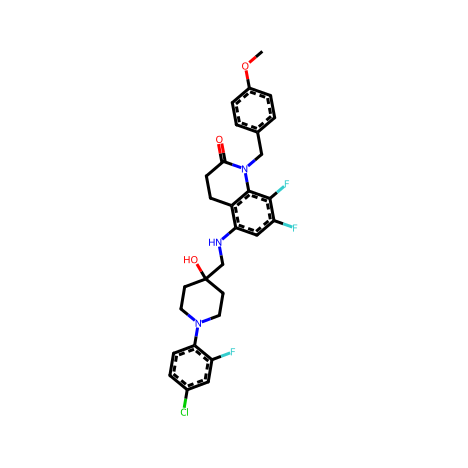 COc1ccc(CN2C(=O)CCc3c(NCC4(O)CCN(c5ccc(Cl)cc5F)CC4)cc(F)c(F)c32)cc1